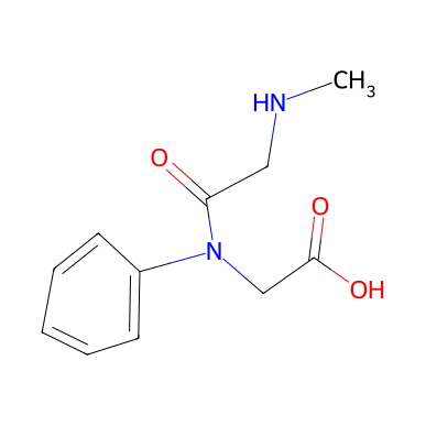 CNCC(=O)N(CC(=O)O)c1ccccc1